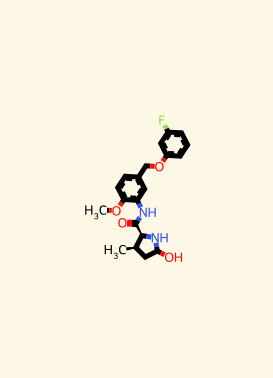 COc1ccc(COc2cccc(F)c2)cc1NC(=O)[C@H]1NC(O)C[C@H]1C